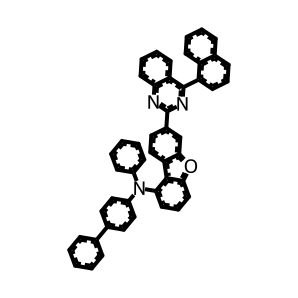 c1ccc(-c2ccc(N(c3ccccc3)c3cccc4oc5cc(-c6nc(-c7cccc8ccccc78)c7ccccc7n6)ccc5c34)cc2)cc1